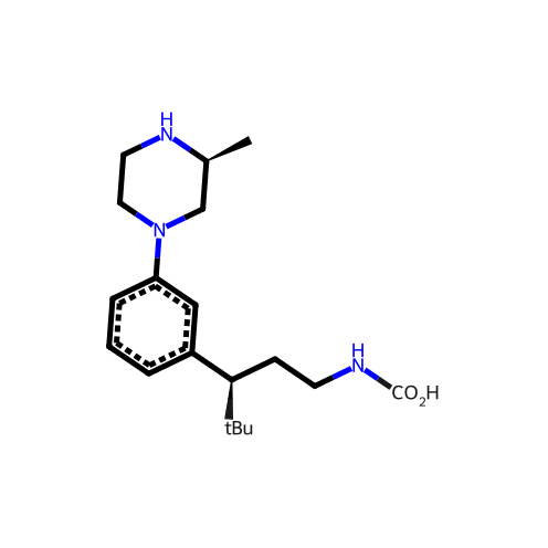 C[C@H]1CN(c2cccc([C@@H](CCNC(=O)O)C(C)(C)C)c2)CCN1